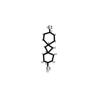 CCC1CCC2(CC1)CC1(CCC(CC)CC1)C2